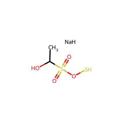 CC(O)S(=O)(=O)OS.[NaH]